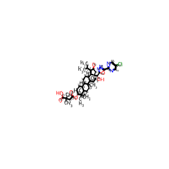 CC(C)C1=C2[C@H]3CC[C@@H]4[C@@]5(C)CC[C@H](OC(=O)CC(C)(C)C(=O)O)C(C)(C)[C@@H]5CC[C@@]4(C)[C@]3(C)CC[C@@]2([C@@H](O)c2nnc(-c3ncc(Cl)cn3)o2)CC1=O